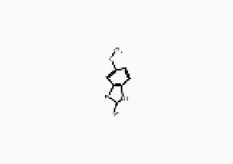 CCCC1Nc2ccc(OC(F)(F)F)cc2N1